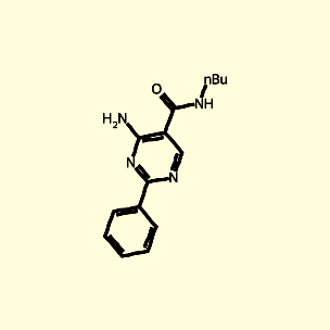 CCCCNC(=O)c1cnc(-c2ccccc2)nc1N